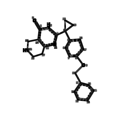 O=c1[nH]c(C2(c3ccc(OCc4ccccc4)cc3)CC2)nc2c1CNCC2